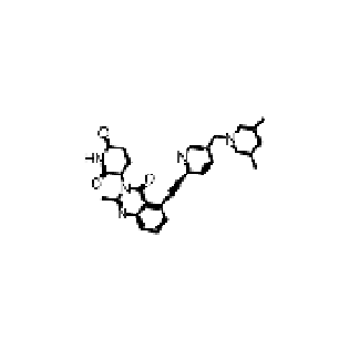 Cc1nc2cccc(C#Cc3ccc(CN4CC(C)CC(C)C4)cn3)c2c(=O)n1C1CCC(=O)NC1=O